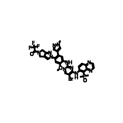 COc1cc(-n2cc3c(n2)CN(C(=O)C(F)(F)F)C3)c(-c2cnn(C)c2)cc1Nc1ncc(Br)c(Nc2ccc3nccnc3c2P(C)(C)=O)n1